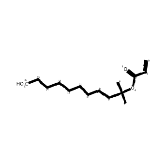 C=CC(=O)OC(C)(C)CCCCCCCCC(=O)O